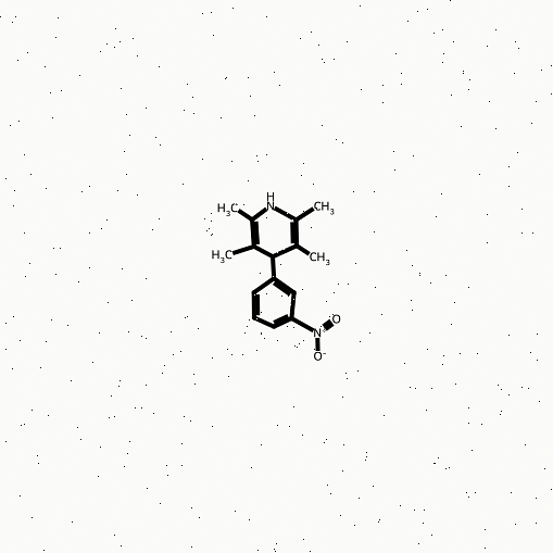 CC1=C(C)C(c2cccc([N+](=O)[O-])c2)C(C)=C(C)N1